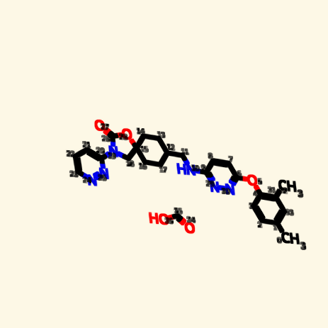 Cc1ccc(Oc2ccc(NCC3CCC4(CC3)CN(c3cccnn3)C(=O)O4)nn2)c(C)c1.O=CO